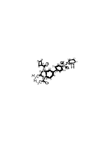 CC(=O)N1c2ccc(-c3ccc(S(=O)(=O)N4CCCN4)cc3)cc2N(C(=O)C2CCC2)C[C@@H]1C